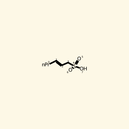 CCC/C=C/CS(=O)(=O)O